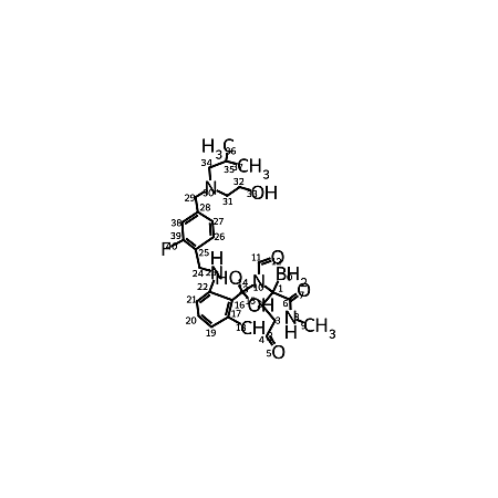 BC(CCC=O)(C(=O)NC)N(C=O)C(O)(O)c1c(C)cccc1NCc1ccc(CN(CCO)CC(C)C)cc1F